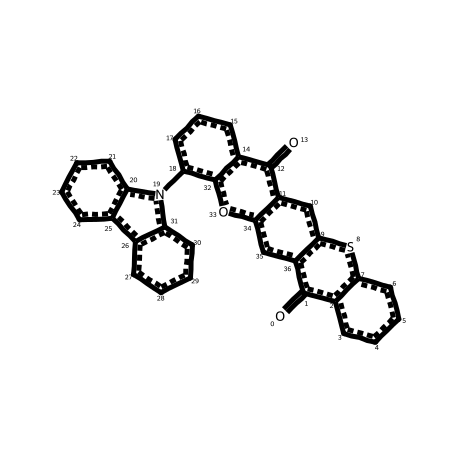 O=c1c2ccccc2sc2cc3c(=O)c4cccc(-n5c6ccccc6c6ccccc65)c4oc3cc12